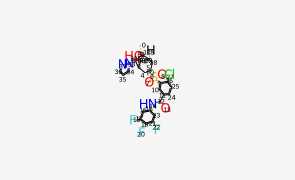 C[C@H]1CC2C[C@@H](S(=O)(=O)c3cc(C(=O)Nc4cc(F)c(F)c(F)c4)ccc3Cl)C[C@H]1[C@@]2(O)Cn1cccn1